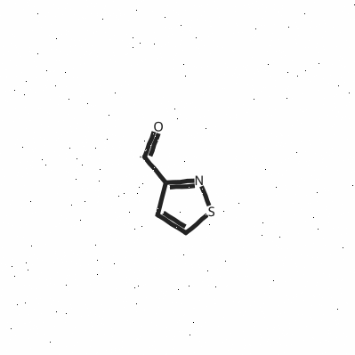 O=[C]c1ccsn1